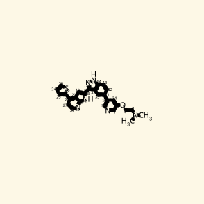 CN(C)CCOc1cncc(-c2ccc3[nH]nc(-c4cc5c(-c6cccs6)ccnc5[nH]4)c3c2)c1